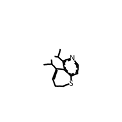 CC(C)C1=CCCSc2ccnc(C(C)C)c21